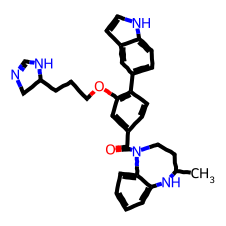 CC1CCN(C(=O)c2ccc(-c3ccc4[nH]ccc4c3)c(OCCCC3CN=CN3)c2)c2ccccc2N1